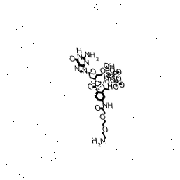 CC(N)c1cc(NC(=O)COCCOCCN)ccc1C(=O)O[C@@H]1C[C@H](n2cnc3c(=O)[nH]c(N)nc32)OC1COP(=O)(O)OP(=O)(O)OP(=O)(O)O